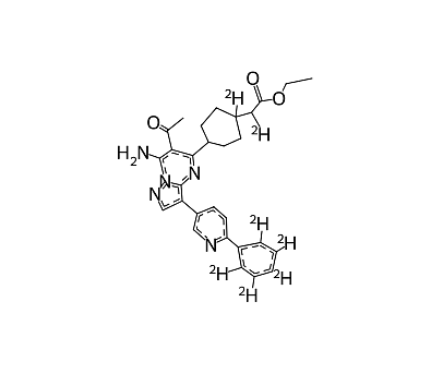 [2H]c1c([2H])c([2H])c(-c2ccc(-c3cnn4c(N)c(C(C)=O)c(C5CCC([2H])(C([2H])C(=O)OCC)CC5)nc34)cn2)c([2H])c1[2H]